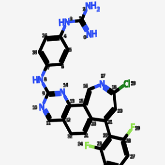 N=C(N)Nc1ccc(Nc2ncc3c(n2)C2=CN=C(Cl)C=C(c4c(F)cccc4F)C2=CC3)cc1